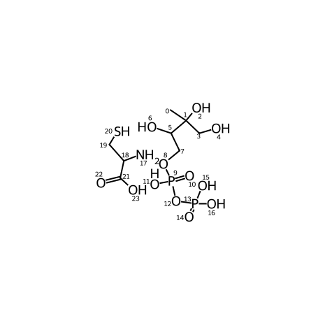 CC(O)(CO)C(O)COP(=O)(O)OP(=O)(O)O.NC(CS)C(=O)O